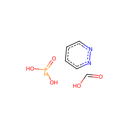 O=CO.O=[PH](O)O.c1ccnnc1